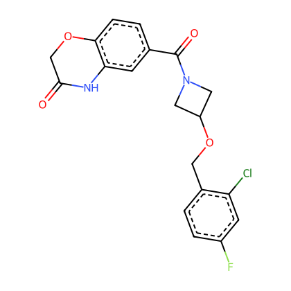 O=C1COc2ccc(C(=O)N3CC(OCc4ccc(F)cc4Cl)C3)cc2N1